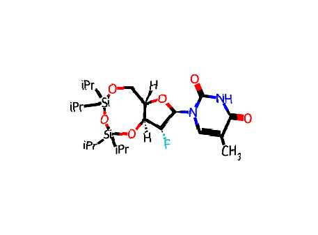 Cc1cn([C@@H]2O[C@H]3CO[Si](C(C)C)(C(C)C)O[Si](C(C)C)(C(C)C)O[C@@H]3[C@H]2F)c(=O)[nH]c1=O